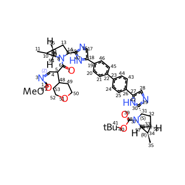 COC(=O)/N=C\C(C(=O)N1[C@@H]2C(C)[C@@H]2C[C@H]1c1ncc(-c2ccc(-c3ccc(-c4cnc([C@@H]5C[C@H]6[C@@H](C)[C@H]6N5C(=O)OC(C)(C)C)[nH]4)cc3)cc2)[nH]1)C1CCOCC1